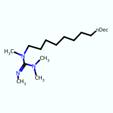 CCCCCCCCCCCCCCCCCCN(C)C(=NC)N(C)C